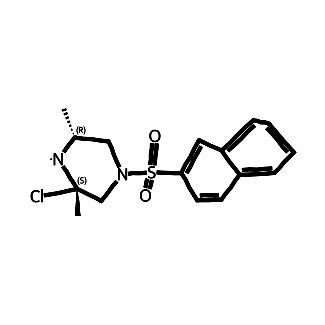 C[C@@H]1CN(S(=O)(=O)c2ccc3ccccc3c2)C[C@](C)(Cl)[N]1